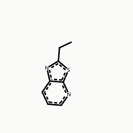 CCc1nc2cccnc2s1